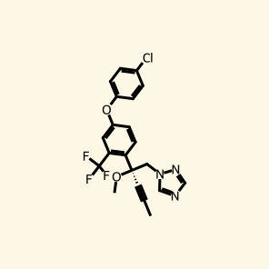 CC#C[C@](Cn1cncn1)(OC)c1ccc(Oc2ccc(Cl)cc2)cc1C(F)(F)F